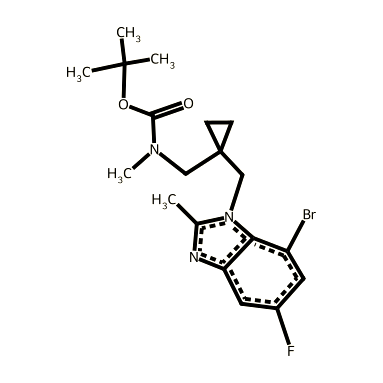 Cc1nc2cc(F)cc(Br)c2n1CC1(CN(C)C(=O)OC(C)(C)C)CC1